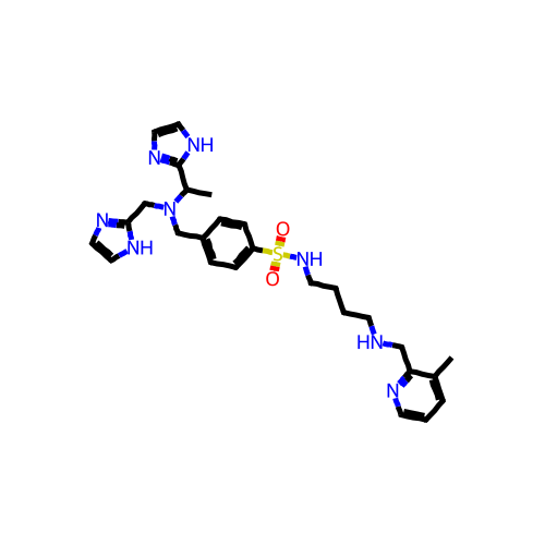 Cc1cccnc1CNCCCCNS(=O)(=O)c1ccc(CN(Cc2ncc[nH]2)C(C)c2ncc[nH]2)cc1